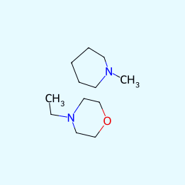 CCN1CCOCC1.CN1CCCCC1